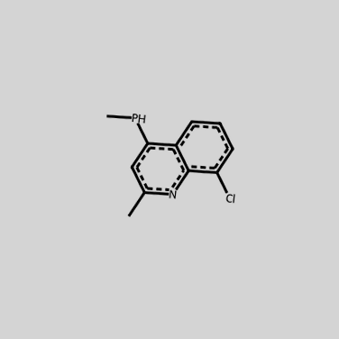 CPc1cc(C)nc2c(Cl)cccc12